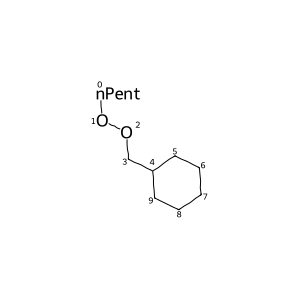 CCCCCOOCC1CCCCC1